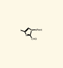 CCCCCn1cc(I)nc1C=O